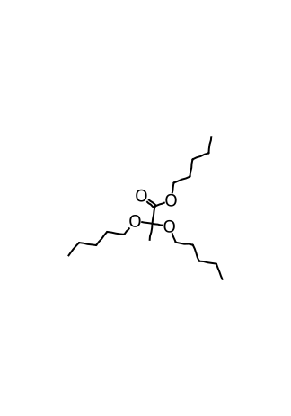 CCCCCOC(=O)C(C)(OCCCCC)OCCCCC